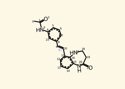 CC(=O)Nc1cccc(/C=C/c2cccc3c2NCCC(=O)N3)c1